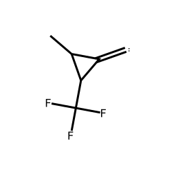 [C]=C1C(C)C1C(F)(F)F